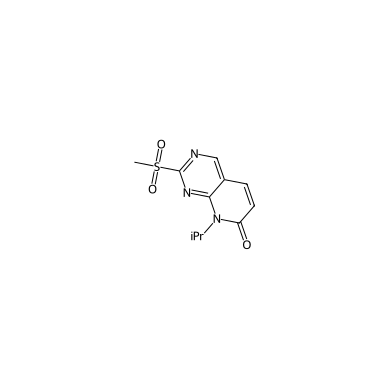 CC(C)n1c(=O)ccc2cnc(S(C)(=O)=O)nc21